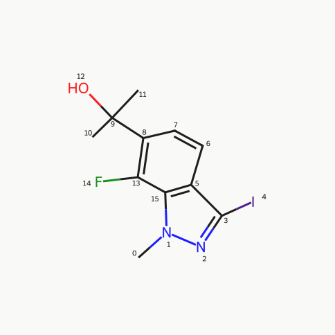 Cn1nc(I)c2ccc(C(C)(C)O)c(F)c21